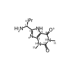 CC(C)[C@H](N)c1nc2c([nH]1)c(=O)n(C)c(=O)n2C